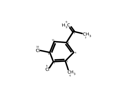 C=C(C)c1cc(C)c(Cl)c(Cl)c1